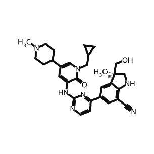 CN1CCC(c2cc(Nc3nccc(-c4cc(C#N)c5c(c4)[C@@](C)(CO)CN5)n3)c(=O)n(CC3CC3)c2)CC1